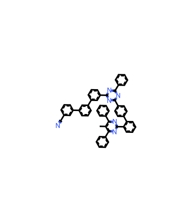 Cc1c(-c2ccccc2)nc(-c2ccccc2-c2ccc(-c3nc(-c4ccccc4)nc(-c4cccc(-c5cccc(-c6cccc(C#N)c6)c5)c4)n3)cc2)nc1-c1ccccc1